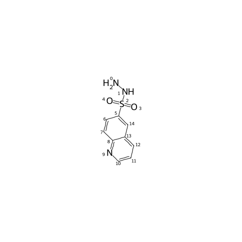 NNS(=O)(=O)c1ccc2ncccc2c1